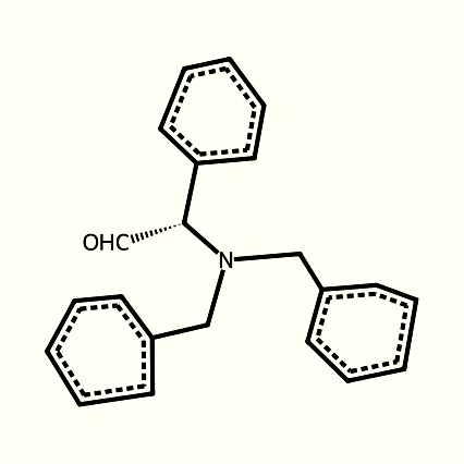 O=C[C@H](c1ccccc1)N(Cc1ccccc1)Cc1ccccc1